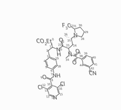 CCOC(=O)[C@H](Cc1ccc(NC(=O)c2c(Cl)cncc2Cl)cc1)NC(=O)C(C[C@H](C)N1CCCC1C(F)(F)F)N(C)S(=O)(=O)c1cccc(C#N)c1